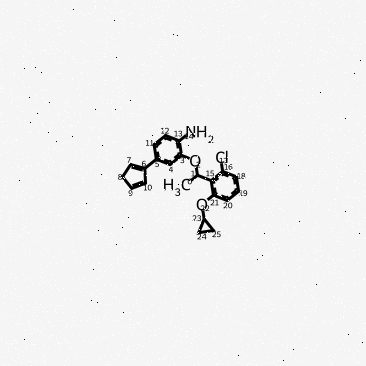 CC(Oc1cc(C2=CCC=C2)ccc1N)c1c(Cl)cccc1OC1CC1